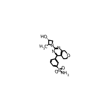 C[C@H]1[C@H](O)CN1c1nc2c(c(-c3cccc(S(N)(=O)=O)c3)n1)CCOC2